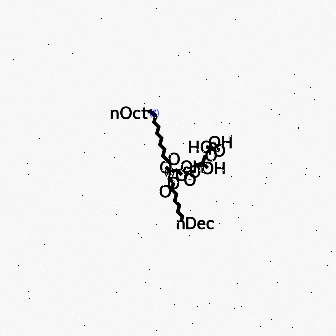 CCCCCCCC/C=C\CCCCCCCC(=O)O[C@H](COC(=O)CCCCCCCCCCCCCCC)COP(=O)(O)OCC(O)COP(=O)(O)O